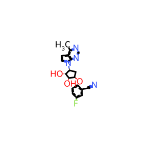 Cc1ncnc2c1ccn2[C@H]1C[C@@H](Oc2ccc(F)cc2C#N)[C@H](O)[C@@H]1O